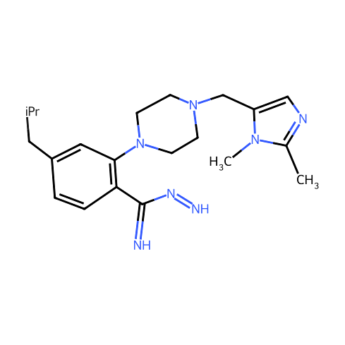 Cc1ncc(CN2CCN(c3cc(CC(C)C)ccc3C(=N)N=N)CC2)n1C